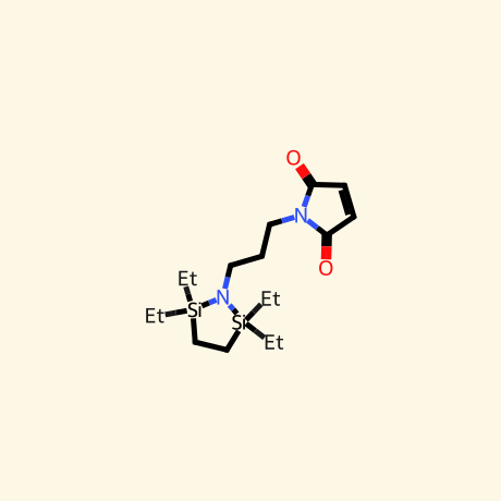 CC[Si]1(CC)CC[Si](CC)(CC)N1CCCN1C(=O)C=CC1=O